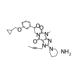 CC#CCn1c(N2CCC[C@@H](N)C2)nc2c1c(=O)n(CC(=O)c1cccc(OCC3CC3)c1)c(=O)n2C